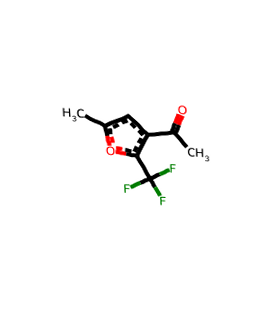 CC(=O)c1cc(C)oc1C(F)(F)F